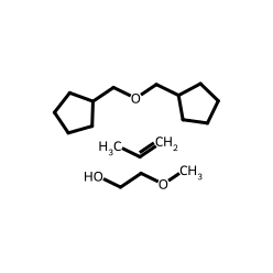 C1CCC(COCC2CCCC2)C1.C=CC.COCCO